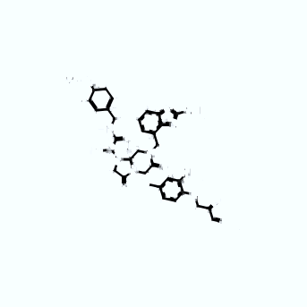 C=CC(=O)COc1ccc(C[C@H]2C(=O)N(Cc3cccc4sc(N)nc34)C[C@H]3N2C(=O)CN3N(CCC)C(=O)NCC2=CCC(OC)C=C2)cc1N